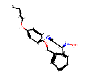 CCCCOc1ccc(OCc2ccccc2/C(C#N)=N\O)cc1